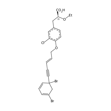 CCO[C@@H](Cc1ccc(OCC=CC#CC2(Br)C=CC=C(Br)C2)c(Cl)c1)C(=O)O